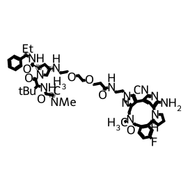 CC[C@H](NC(=O)[C@H]1C[C@@H](NCCOCCOCCC(=O)NCCn2nc3c(c2C#N)-c2cnc(N)c(c2)N2CCC[C@@H]2c2cc(F)ccc2C(=O)N(C)C3)CN1C(=O)C(NC(=O)[C@@H](C)NC)C(C)(C)C)c1ccccc1